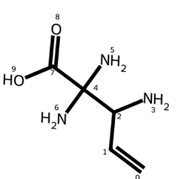 C=CC(N)C(N)(N)C(=O)O